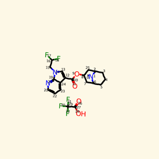 CN1C2CCCC1CC(OC(=O)c1cn(CC(F)F)c3ncccc13)C2.O=C(O)C(F)(F)F